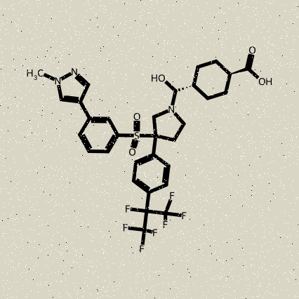 Cn1cc(-c2cccc(S(=O)(=O)C3(c4ccc(C(F)(C(F)(F)F)C(F)(F)F)cc4)CCN(C(O)[C@H]4CC[C@H](C(=O)O)CC4)C3)c2)cn1